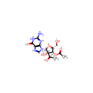 CC(=O)O[C@@H]1[C@@H](CO)O[C@@H](n2cnc3c(=O)[nH]c(N)nc32)[C@@]1(O)C(C)=O